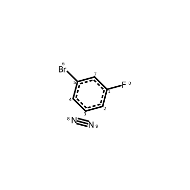 Fc1cccc(Br)c1.N#N